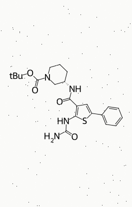 CC(C)(C)OC(=O)N1CCC[C@H](NC(=O)c2cc(-c3ccccc3)sc2NC(N)=O)C1